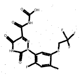 Cc1cc(F)c(-n2nc(C(=O)NC(=O)O)c(=O)[nH]c2=O)cc1SCC(F)(F)F